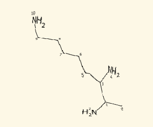 CC(N)C(N)CCCCCN